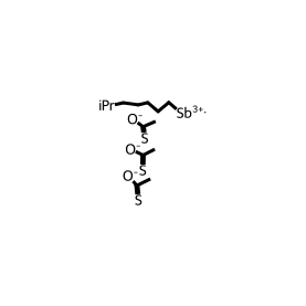 CC(C)CCCC[CH2][Sb+3].CC([O-])=S.CC([O-])=S.CC([O-])=S